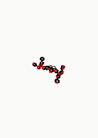 c1ccc(-c2cccc(N(c3ccc(C4CCCCC4)cc3)c3ccc4cc5c(cc4c3)oc3c5ccc4c5cc(N(c6ccc(C7CCCCC7)cc6)c6cccc(-c7ccccc7)c6)ccc5oc43)c2)cc1